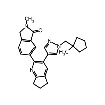 CN1Cc2ccc(-c3nc4c(cc3-c3cnn(CC5(C)CCCC5)c3)CCC4)cc2C1=O